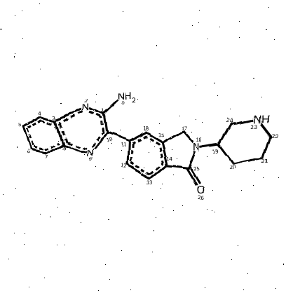 Nc1nc2ccccc2nc1-c1ccc2c(c1)CN(C1CCCNC1)C2=O